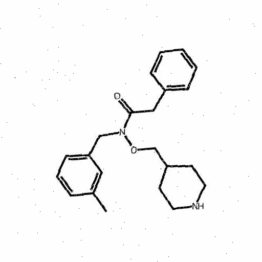 Cc1cccc(CN(OCC2CCNCC2)C(=O)Cc2ccccc2)c1